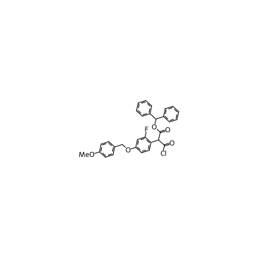 COc1ccc(COc2ccc(C(C(=O)Cl)C(=O)OC(c3ccccc3)c3ccccc3)c(F)c2)cc1